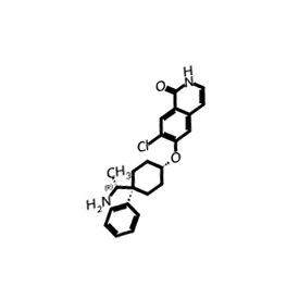 C[C@@H](N)[C@]1(c2ccccc2)CC[C@@H](Oc2cc3cc[nH]c(=O)c3cc2Cl)CC1